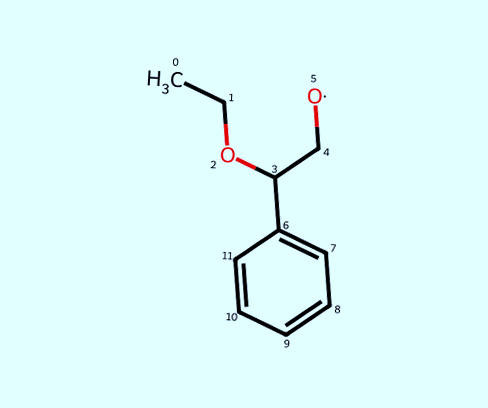 CCOC(C[O])c1ccccc1